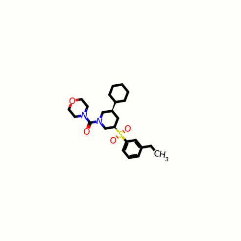 CCc1cccc(S(=O)(=O)[C@@H]2C[C@H](C3CCCCC3)CN(C(=O)N3CCOCC3)C2)c1